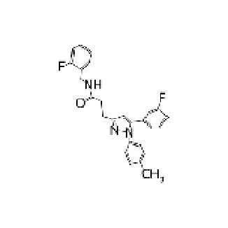 Cc1ccc(-n2nc(CCC(=O)NCc3ccccc3F)cc2-c2cccc(F)c2)cc1